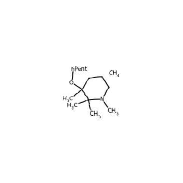 C.CCCCCOC1(C)CCCN(C)C1(C)C